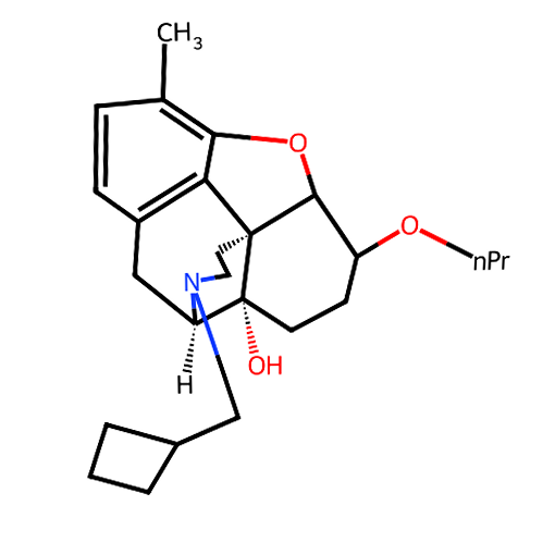 CCCOC1CC[C@@]2(O)[C@H]3Cc4ccc(C)c5c4[C@@]2(CCN3CC2CCC2)C1O5